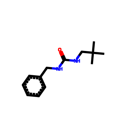 CC(C)(C)CNC(=O)NCc1ccccc1